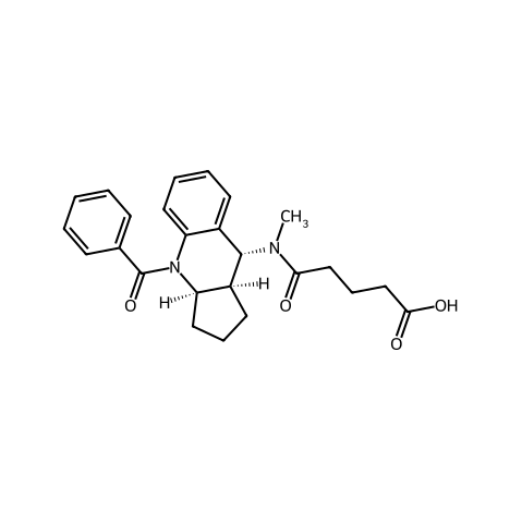 CN(C(=O)CCCC(=O)O)[C@H]1c2ccccc2N(C(=O)c2ccccc2)[C@@H]2CCC[C@@H]21